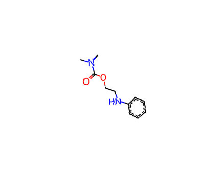 CN(C)C(=O)OCCNc1ccccc1